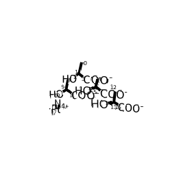 CC(O)C(=O)[O-].CC(O)C(=O)[O-].CC(O)C(=O)[O-].CC(O)C(=O)[O-].[N].[Pt+4]